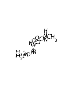 Cc1nc2ccc(Oc3ccc4ncc(-c5cnn(CC6CCN(C(C)C)CC6)c5)nc4c3Cl)cc2[nH]1